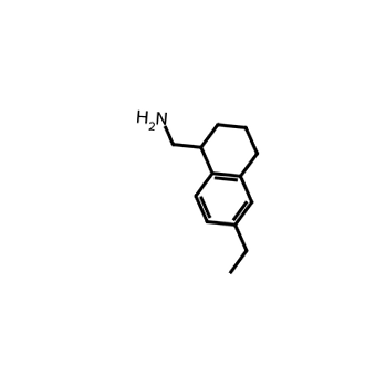 CCc1ccc2c(c1)CCCC2CN